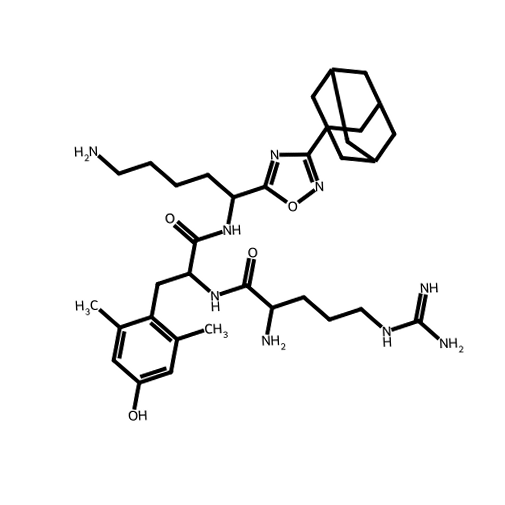 Cc1cc(O)cc(C)c1CC(NC(=O)C(N)CCCNC(=N)N)C(=O)NC(CCCCN)c1nc(C23CC4CC(CC(C4)C2)C3)no1